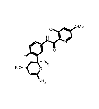 COc1cnc(C(=O)Nc2ccc(F)c([C@]3(CF)C[C@@H](C(F)(F)F)N=C(N)O3)c2)c(Cl)c1